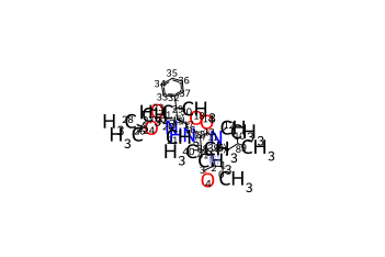 CC/C(C=O)=C\[C@H](CC(C)C)N(C)C(=O)[C@@H](NC(=O)[C@@H](N(C)C(=O)OC(C)(C)C)C(C)(C)c1ccccc1)C(C)(C)C